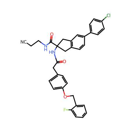 N#CCCNC(=O)C1(NC(=O)Cc2ccc(OCc3ccccc3F)cc2)Cc2ccc(-c3ccc(Cl)cc3)cc2C1